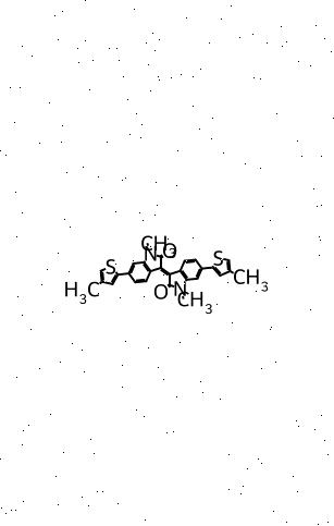 Cc1csc(-c2ccc3c(c2)N(C)C(=O)/C3=C2/C(=O)N(C)c3cc(-c4cc(C)cs4)ccc32)c1